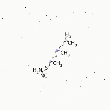 [C-]#[N+]C(N)CSC/C=C(\C)CC/C=C(\C)CCC=C(C)C